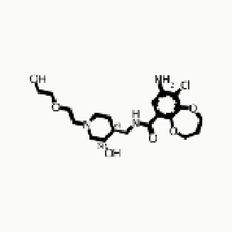 Nc1cc(C(=O)NC[C@@H]2CCN(CCOCCO)C[C@H]2O)c2c(c1Cl)OCCCO2